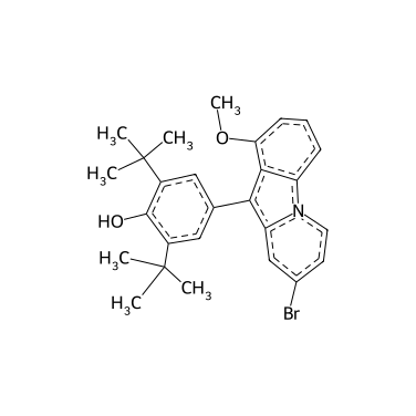 COc1cccc2c1c(-c1cc(C(C)(C)C)c(O)c(C(C)(C)C)c1)c1cc(Br)ccn12